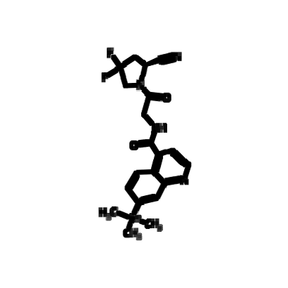 [CH3][Sn]([CH3])([CH3])[c]1ccc2c(C(=O)NCC(=O)N3CC(F)(F)C[C@H]3C#N)ccnc2c1